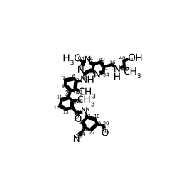 Cc1nc(Nc2cccc(-c3cccc(-c4nc5cc(C=O)cc(C#N)c5o4)c3C)c2C)c2ncc(CN[C@@H](C)CO)cc2n1